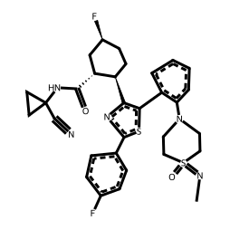 CN=S1(=O)CCN(c2ccccc2-c2sc(-c3ccc(F)cc3)nc2[C@@H]2CC[C@H](F)C[C@H]2C(=O)NC2(C#N)CC2)CC1